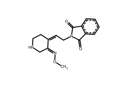 CON=C1CNCCC1=CCN1C(=O)c2ccccc2C1=O